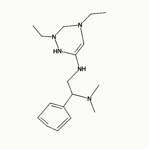 CCN1C=C(NCC(c2ccccc2)N(C)C)NN(CC)C1